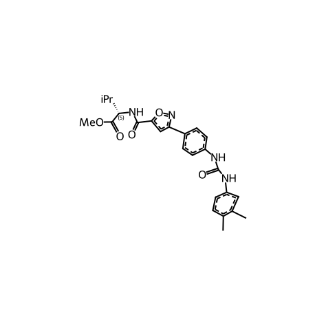 COC(=O)[C@@H](NC(=O)c1cc(-c2ccc(NC(=O)Nc3ccc(C)c(C)c3)cc2)no1)C(C)C